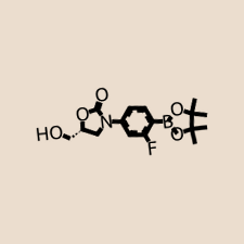 CC1(C)OB(c2ccc(N3C[C@H](CO)OC3=O)cc2F)OC1(C)C